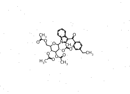 CCc1ccc(C(=O)c2cn(C3OC(COC(C)=O)[C@@H](OC(C)=O)C(OC(C)=O)[C@H]3OC(C)=O)c3ccccc23)cc1